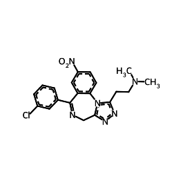 CN(C)CCc1nnc2n1-c1ccc([N+](=O)[O-])cc1C(c1cccc(Cl)c1)=NC2